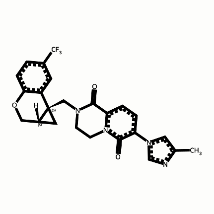 Cc1cn(-c2ccc3n(c2=O)CCN(C[C@@]24C[C@@H]2COc2ccc(C(F)(F)F)cc24)C3=O)cn1